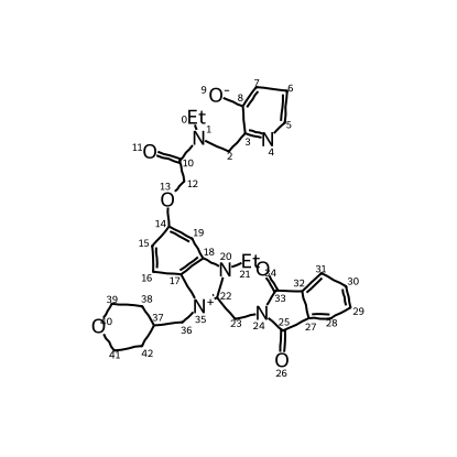 CCN(Cc1ncccc1[O-])C(=O)COc1ccc2c(c1)n(CC)c(CN1C(=O)c3ccccc3C1=O)[n+]2CC1CCOCC1